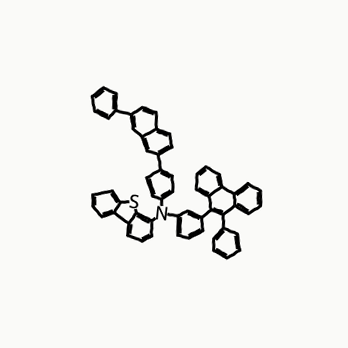 c1ccc(-c2ccc3ccc(-c4ccc(N(c5cccc(-c6c(-c7ccccc7)c7ccccc7c7ccccc67)c5)c5cccc6c5sc5ccccc56)cc4)cc3c2)cc1